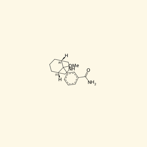 COC1(c2cccc(C(N)=O)c2)[C@@H]2CCC[C@H]1CNC2